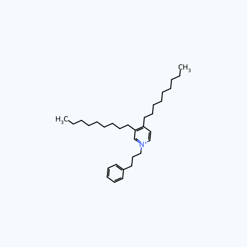 CCCCCCCCCc1cc[n+](CCCc2ccccc2)cc1CCCCCCCCC